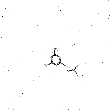 Nc1nc(N)nc(N)n1.[Cl][Ga]([Cl])[Cl]